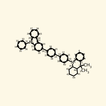 CC1(C)c2ccccc2N(c2ccc(-c3ccc(-c4ccc5c(c4)c4ccccc4n5-c4ccccc4)cc3)cc2)C2CCCCC21